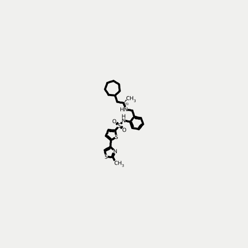 Cc1nc(-c2ccc(S(=O)(=O)Nc3ccccc3CN[C@@H](C)CC3CCCCCC3)s2)cs1